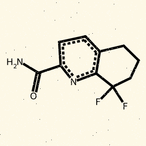 NC(=O)c1ccc2c(n1)C(F)(F)CCC2